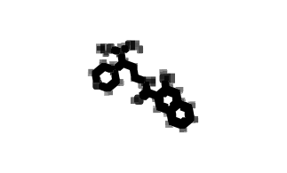 CN(C)C(CCNC(=O)c1cc2ccccc2cc1O)N1CCOCC1